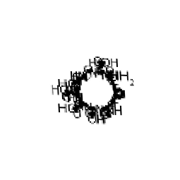 CC(=O)N[C@H]1CSCc2ccccc2CSC[C@@H](C(N)=O)NC(=O)[C@H](CCC(=O)O)NC(=O)CNC(=O)[C@H]([C@@H](C)O)NC(=O)[C@H](CCC(=O)O)NC(=O)[C@H](CCC(=O)O)NC(=O)[C@H](CC(=O)O)NC1=O